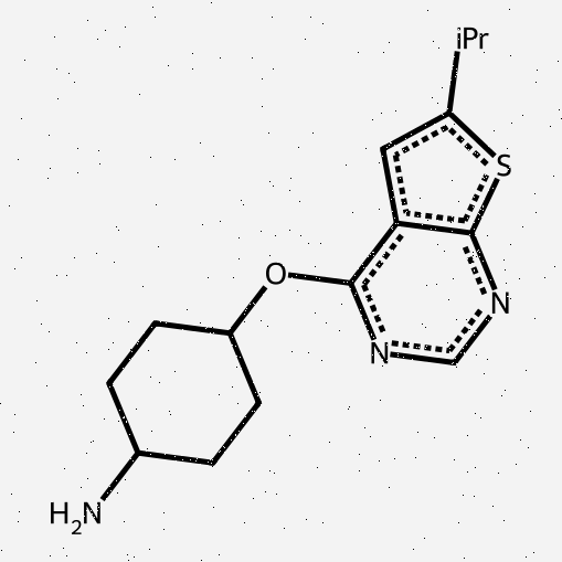 CC(C)c1cc2c(OC3CCC(N)CC3)ncnc2s1